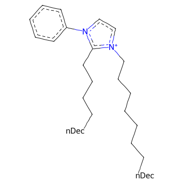 CCCCCCCCCCCCCCCCC[n+]1ccn(-c2ccccc2)c1CCCCCCCCCCCCCC